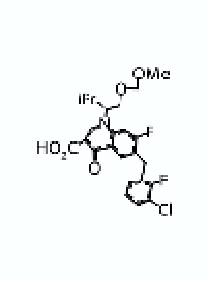 COCOC[C@H](C(C)C)n1cc(C(=O)O)c(=O)c2cc(Cc3cccc(Cl)c3F)c(F)cc21